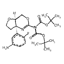 CC(C)(C)OC(=O)N(C(=O)OC(C)(C)C)C1=N[C@@]2(c3cc(N)ccc3F)CCO[C@H]2CO1